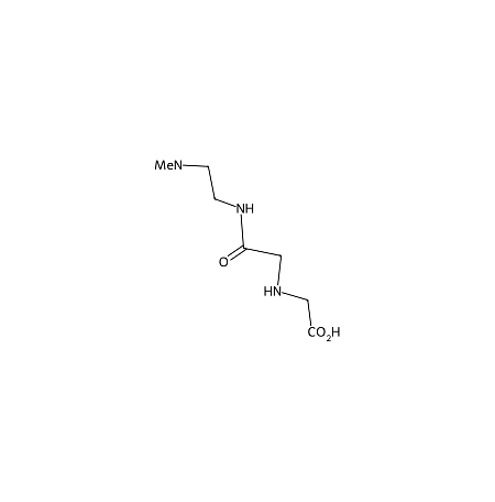 CNCCNC(=O)CNCC(=O)O